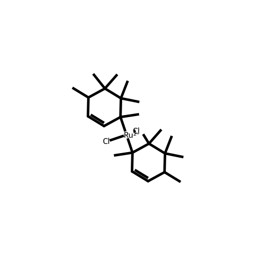 CC1C=C[C](C)([Ru-2]([Cl])([Cl])[C]2(C)C=CC(C)C(C)(C)C2(C)C)C(C)(C)C1(C)C